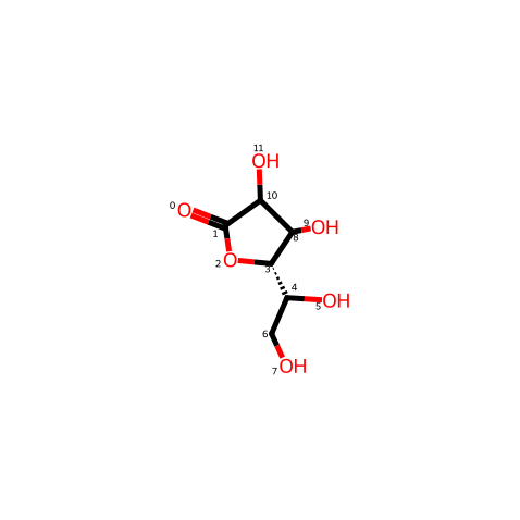 O=C1O[C@@H](C(O)CO)C(O)C1O